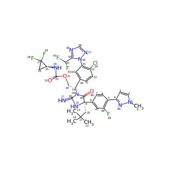 Cn1ccc(-c2ccc([C@@]3(CC(C)(C)C)NC(=N)N([C@H](COC(=O)N[C@H]4CC4(F)F)c4ccc(Cl)c(-n5ncnc5C(F)F)c4)C3=O)cc2F)n1